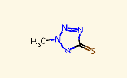 CN1[N]C(=S)N=N1